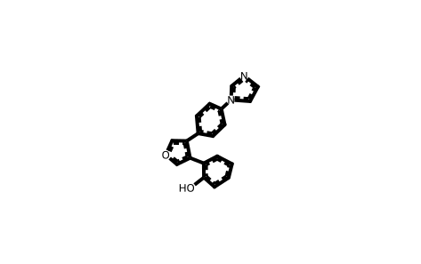 Oc1ccccc1-c1cocc1-c1ccc(-n2ccnc2)cc1